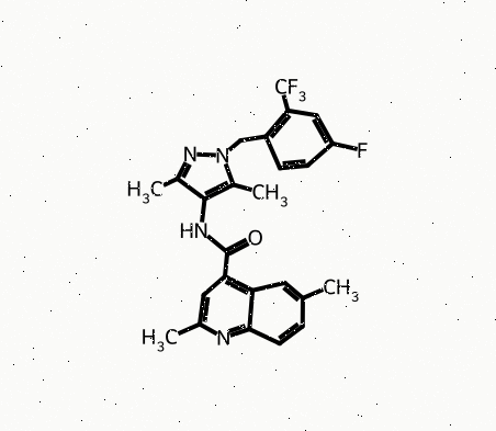 Cc1ccc2nc(C)cc(C(=O)Nc3c(C)nn(Cc4ccc(F)cc4C(F)(F)F)c3C)c2c1